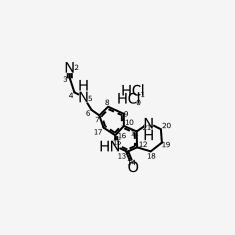 Cl.Cl.N#CCNCc1ccc2c3c(c(=O)[nH]c2c1)CCCN3